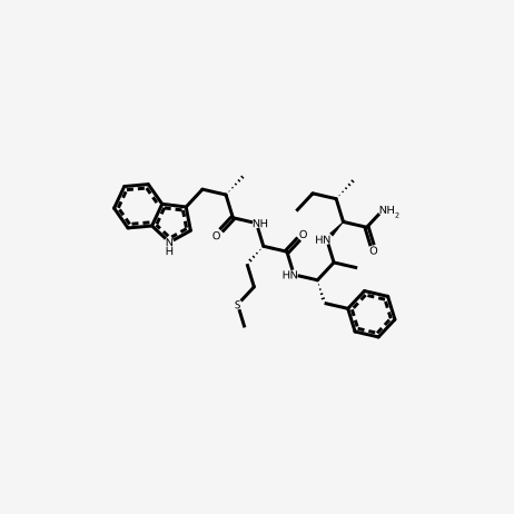 CC[C@H](C)[C@H](NC(C)[C@H](Cc1ccccc1)NC(=O)[C@H](CCSC)NC(=O)[C@@H](C)Cc1c[nH]c2ccccc12)C(N)=O